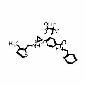 Cc1ccsc1CN[C@@H]1C[C@H]1c1ccc(C(=O)NCc2ccccc2)cc1.O=C(O)C(F)(F)F